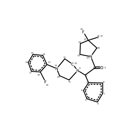 O=C(C(c1ccccc1)N1CCN(c2cc[c]cc2F)CC1)N1CCC(F)(F)C1